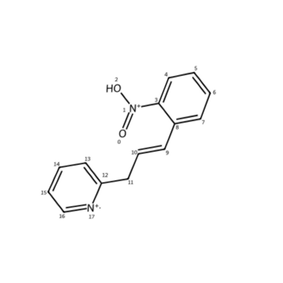 O=[N+](O)c1ccccc1C=CCC1=CC=CC=[N+]1